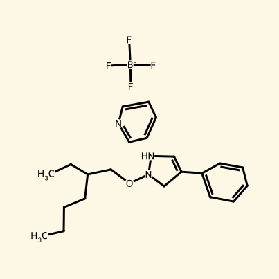 CCCCC(CC)CON1CC(c2ccccc2)=CN1.F[B-](F)(F)F.c1ccncc1